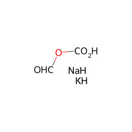 O=COC(=O)O.[KH].[NaH]